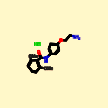 COc1cccc(OC)c1C(=O)Nc1ccc(OCCN)cc1.Cl